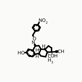 C#C[C@]1(O)CC[C@H]2[C@@H]3C/C(=N\OCc4ccc([N+](=O)[O-])cc4)c4cc(O)ccc4[C@H]3CC[C@@]21C